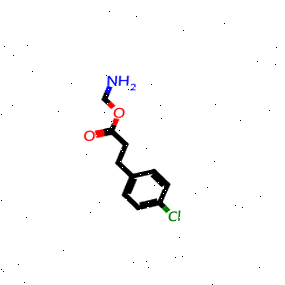 NCOC(=O)CCc1ccc(Cl)cc1